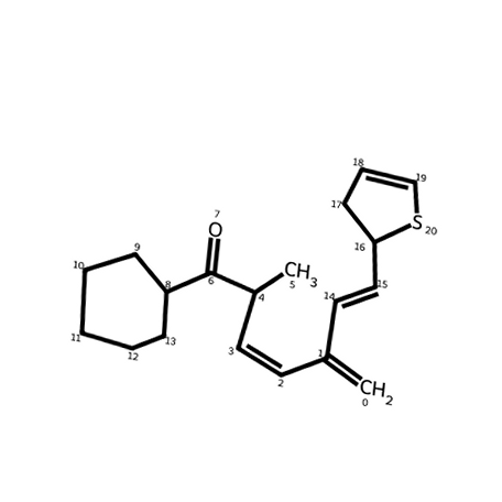 C=C(/C=C\C(C)C(=O)C1CCCCC1)/C=C/C1CC=CS1